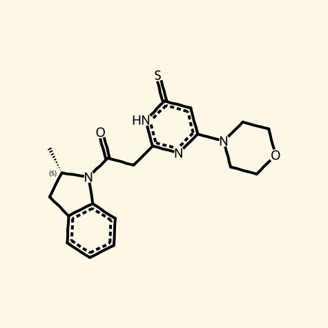 C[C@H]1Cc2ccccc2N1C(=O)Cc1nc(N2CCOCC2)cc(=S)[nH]1